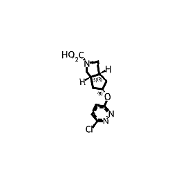 O=C(O)N1C[C@H]2C[C@@H](Oc3ccc(Cl)nn3)C[C@H]2C1